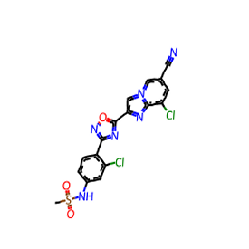 CS(=O)(=O)Nc1ccc(-c2noc(-c3cn4cc(C#N)cc(Cl)c4n3)n2)c(Cl)c1